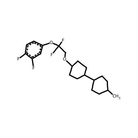 CC1CCC(C2CCC(OCC(F)(F)Oc3ccc(F)c(F)c3)CC2)CC1